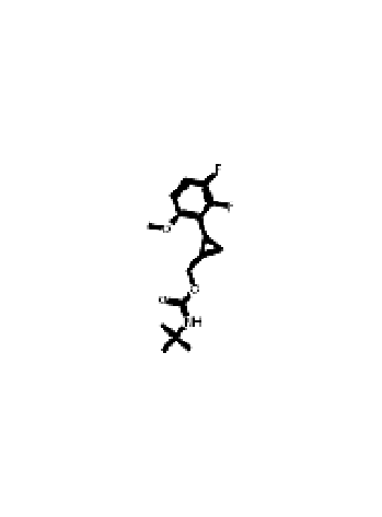 COc1ccc(F)c(F)c1C1CC1COC(=O)NC(C)(C)C